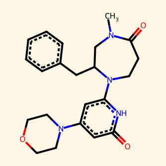 CN1CC(Cc2ccccc2)N(c2cc(N3CCOCC3)cc(=O)[nH]2)CCC1=O